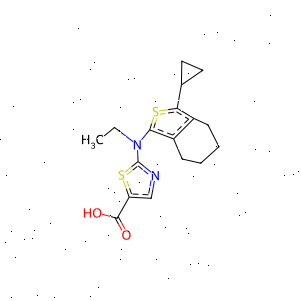 CCN(c1ncc(C(=O)O)s1)c1sc(C2CC2)c2c1CCCC2